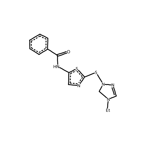 CCN1C=NN(Sc2ncc(NC(=O)c3ccccc3)s2)C1